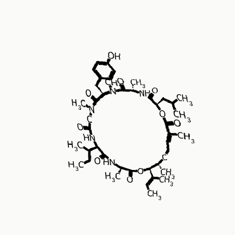 C/C=C(\C)[C@H]1OC(=O)[C@@H](C)NC(=O)C(C(C)CC)NC(=O)CN(C)C(=O)[C@@H](Cc2ccc(O)cc2)N(C)C(=O)[C@H](C)NC(=O)[C@@H](CC(C)C)OC(=O)/C(C)=C/CC[C@@H]1C